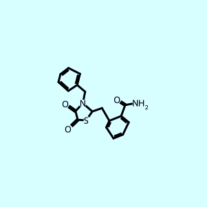 NC(=O)c1ccccc1CC1SC(=O)C(=O)N1Cc1ccccc1